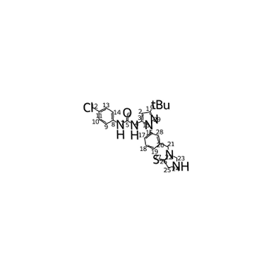 CC(C)(C)c1cc(NC(=O)Nc2ccc(Cl)cc2)n(-c2cccc(CN3CNCC3=S)c2)n1